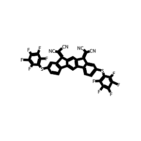 N#CC(C#N)=C1c2cc(Sc3c(F)c(F)c(F)c(F)c3F)ccc2-c2cc3c(cc21)C(=C(C#N)C#N)c1cc(Sc2c(F)c(F)c(F)c(F)c2F)ccc1-3